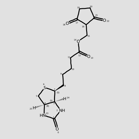 O=C1N[C@H]2[C@H](CS[C@H]2CCCCC(=O)OCC2C(=O)CCC2=O)N1